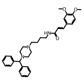 COc1ccc(C=CC(=O)NCCCCN2CCN(C(c3ccccc3)c3ccccc3)CC2)cc1OC